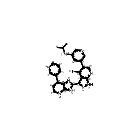 CC(C)Nc1cncc(-c2cnc3[nH]nc(-c4nc5c(-c6cccnc6)ccnc5[nH]4)c3c2F)c1